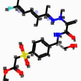 C=C(C(=O)N[C@H](CO)c1ccc(S(=O)(=O)CC(=O)OC(C)C)cc1)N(C)/N=C(C)/C(C)=C/C=C(\C)F